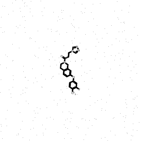 O=C(CCn1cnnc1)N1CCc2ccc(Oc3ccc(C(F)(F)F)c(F)c3)cc2C1